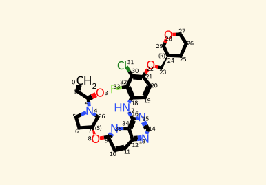 C=CC(=O)N1CC[C@H](Oc2ccc3ncnc(Nc4ccc(OC[C@@H]5CCCOC5)c(Cl)c4F)c3n2)C1